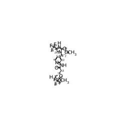 COC[C@H](c1ccnc(NC(=O)CCOC(C)(C)C(F)(F)F)c1)N1C[C@@H](C(F)(F)F)NC1=O